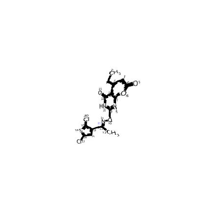 CCc1cc(=O)oc2nc(O/N=C(\C)c3cc(Cl)sc3Cl)[nH]c(=O)c12